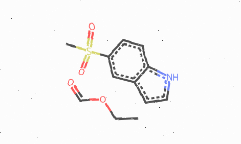 CCOC=O.CS(=O)(=O)c1ccc2[nH]ccc2c1